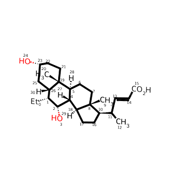 CC[C@H]1[C@@H](O)[C@@H]2[C@H](CC[C@]3(C)[C@@H](C(C)C=CC(=O)O)CC[C@@H]23)[C@@]2(C)CC[C@@H](O)C[C@@H]12